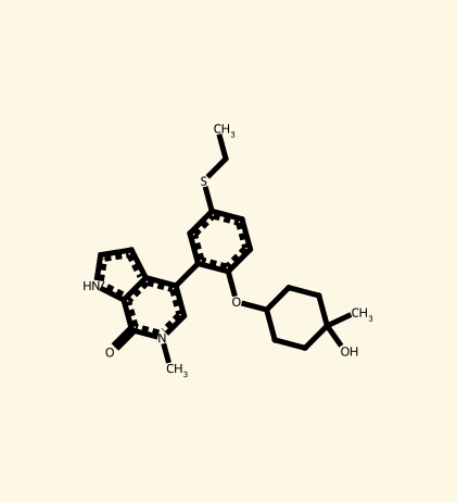 CCSc1ccc(OC2CCC(C)(O)CC2)c(-c2cn(C)c(=O)c3[nH]ccc23)c1